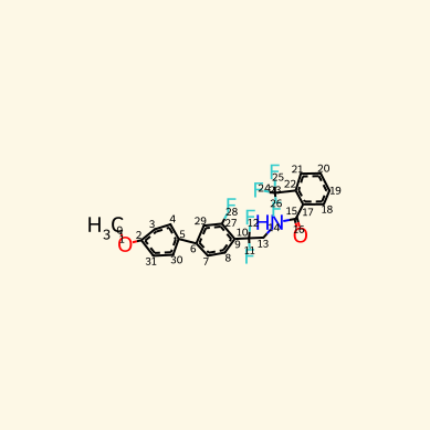 COc1ccc(-c2ccc(C(F)(F)CNC(=O)c3ccccc3C(F)(F)F)c(F)c2)cc1